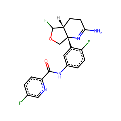 NC1=N[C@]2(c3cc(NC(=O)c4ccc(F)cn4)ccc3F)COC(F)[C@@H]2CC1